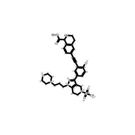 COC(=O)C1NCCc2cc(C#Cc3cc(-c4nn(CCCN5CCOCC5)c5c4CN(S(C)(=O)=O)CC5)ccc3Cl)ccc21